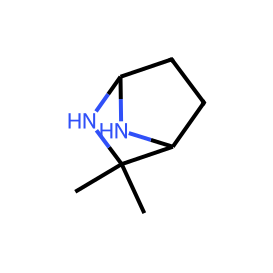 CC1(C)NC2CCC1N2